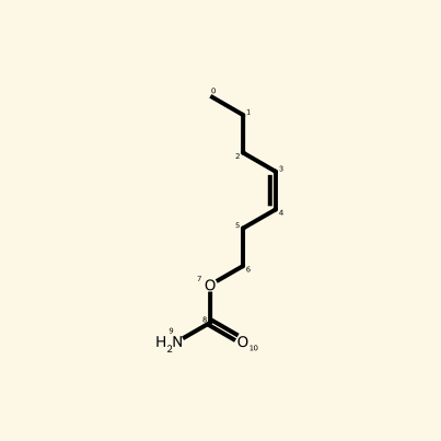 CCC/C=C\CCOC(N)=O